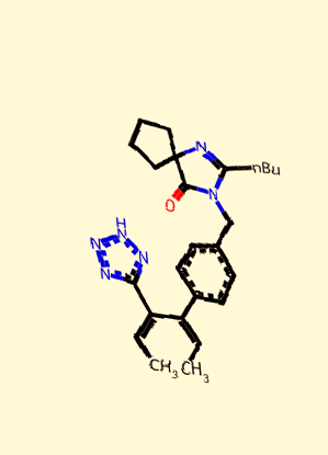 C/C=C(\C(=C/C)c1nn[nH]n1)c1ccc(CN2C(=O)C3(CCCC3)N=C2CCCC)cc1